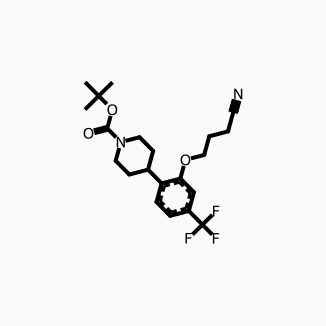 CC(C)(C)OC(=O)N1CCC(c2ccc(C(F)(F)F)cc2OCCCC#N)CC1